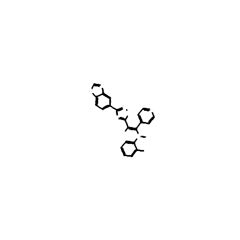 N/C(=C(/c1ccncc1)N(N)c1ccccc1F)c1nc(-c2ccc3[nH]cnc3c2)no1